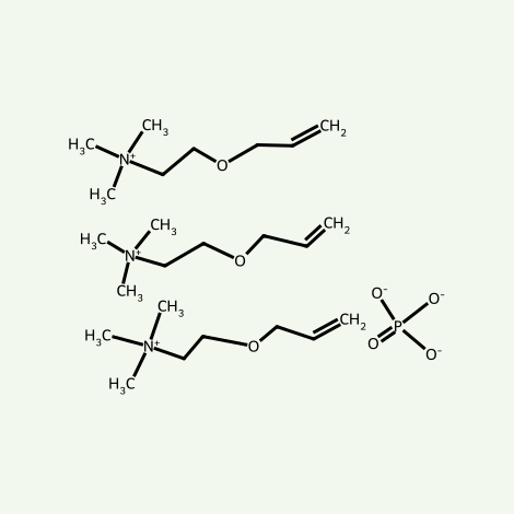 C=CCOCC[N+](C)(C)C.C=CCOCC[N+](C)(C)C.C=CCOCC[N+](C)(C)C.O=P([O-])([O-])[O-]